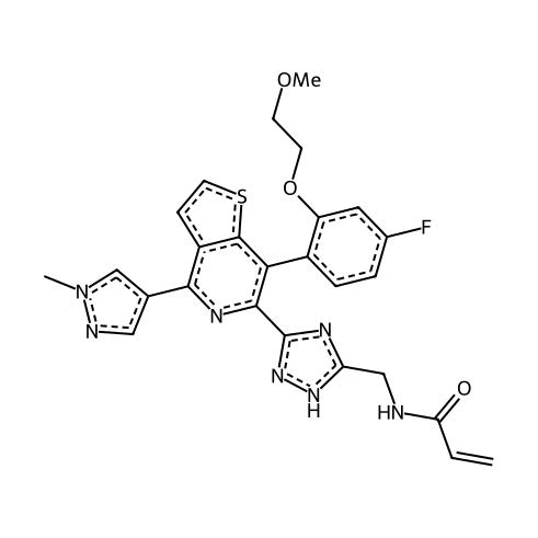 C=CC(=O)NCc1nc(-c2nc(-c3cnn(C)c3)c3ccsc3c2-c2ccc(F)cc2OCCOC)n[nH]1